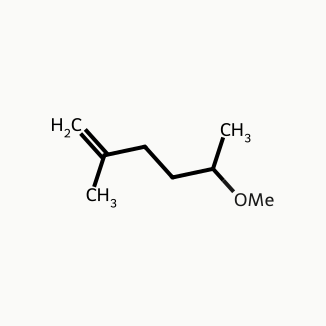 C=C(C)CCC(C)OC